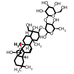 C[C@H]1O[C@@H](O)[C@H](O[C@H]2CC[C@@]3(C)[C@@H](CC[C@]4(C)[C@@H]3C=C[C@]35OC[C@@]6(CCC(C)(C)C[C@H]63)[C@H](O)C[C@]54C)[C@]2(C)CO)[C@@H](O[C@@H]2O[C@H](CO)[C@@H](O)[C@H](O)[C@H]2O)[C@H]1O